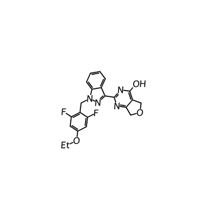 CCOc1cc(F)c(Cn2nc(-c3nc(O)c4c(n3)COC4)c3ccccc32)c(F)c1